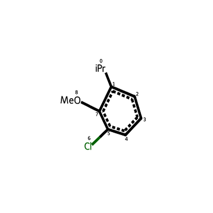 [CH2]C(C)c1cccc(Cl)c1OC